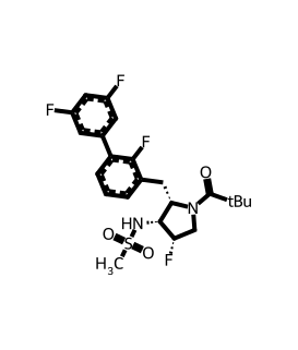 CC(C)(C)C(=O)N1C[C@H](F)[C@H](NS(C)(=O)=O)[C@@H]1Cc1cccc(-c2cc(F)cc(F)c2)c1F